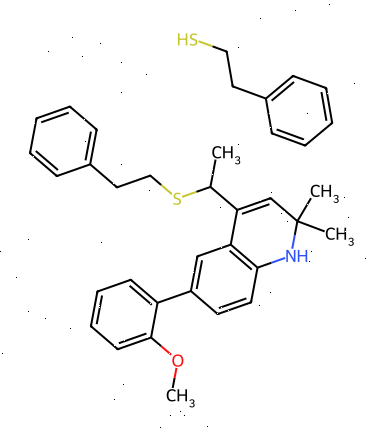 COc1ccccc1-c1ccc2c(c1)C(C(C)SCCc1ccccc1)=CC(C)(C)N2.SCCc1ccccc1